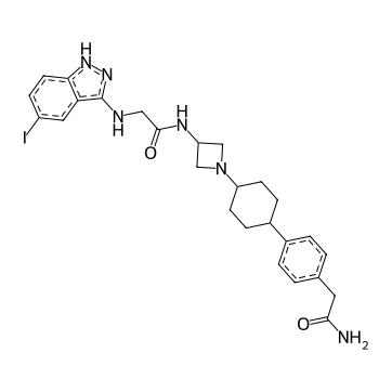 NC(=O)Cc1ccc(C2CCC(N3CC(NC(=O)CNc4n[nH]c5ccc(I)cc45)C3)CC2)cc1